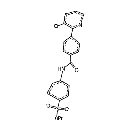 CCCS(=O)(=O)c1ccc(NC(=O)c2ccc(-c3ncccc3Cl)cc2)cc1